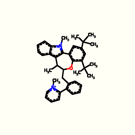 CC1c2c(n(C)c3ccccc23)-c2cc(C(C)(C)C)cc(C(C)(C)C)c2OC1Cc1ccccc1-c1cccc[n+]1C